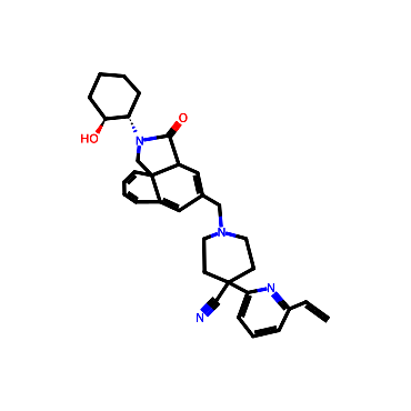 C=Cc1cccc(C2(C#N)CCN(CC3=CC4C(=O)N([C@H]5CCCC[C@@H]5O)CC45C=CC=CC5=C3)CC2)n1